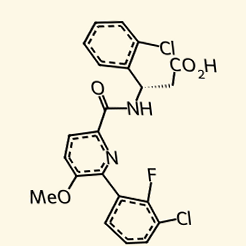 COc1ccc(C(=O)N[C@@H](CC(=O)O)c2ccccc2Cl)nc1-c1cccc(Cl)c1F